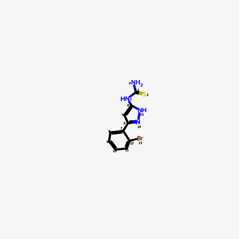 NC(=S)Nc1cc(-c2ccccc2Br)n[nH]1